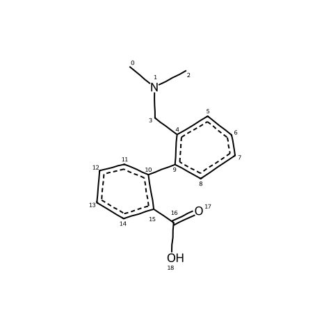 CN(C)Cc1ccccc1-c1ccccc1C(=O)O